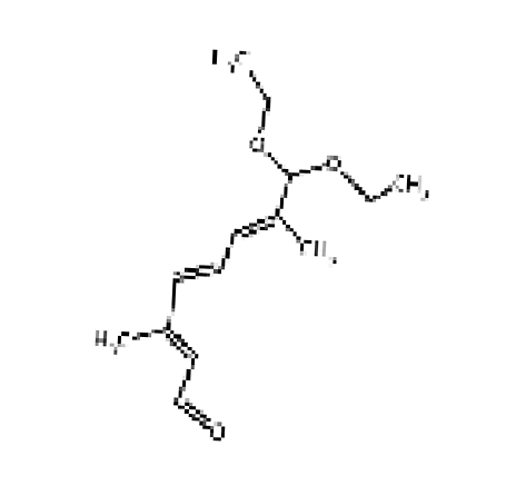 CCOC(OCC)C(C)=CC=CC(C)=CC=O